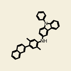 Cc1cc(-c2ccc3ccccc3c2)c(C)cc1Nc1ccc2c(c1)c1ccccc1n2-c1ccccc1